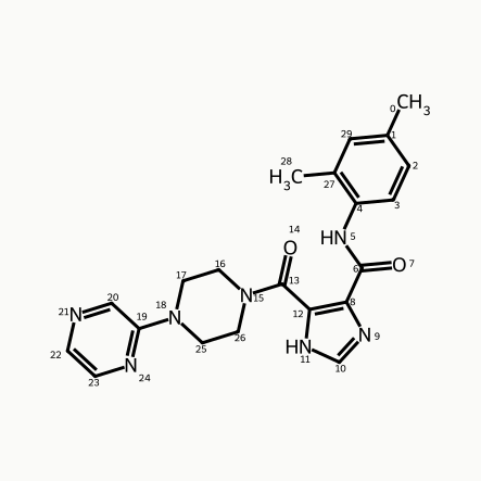 Cc1ccc(NC(=O)c2nc[nH]c2C(=O)N2CCN(c3cnccn3)CC2)c(C)c1